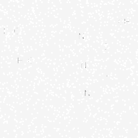 Cc1cn(-c2ccc(C)c(C)c2)c(=NC(=O)N2CCCC2)s1